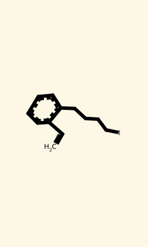 C=Cc1ccccc1CCCCI